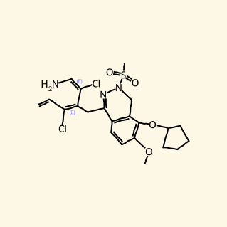 C=C/C(Cl)=C(CC1=NN(S(C)(=O)=O)Cc2c1ccc(OC)c2OC1CCCC1)\C(Cl)=C/N